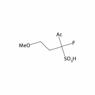 COCCC(F)(C(C)=O)S(=O)(=O)O